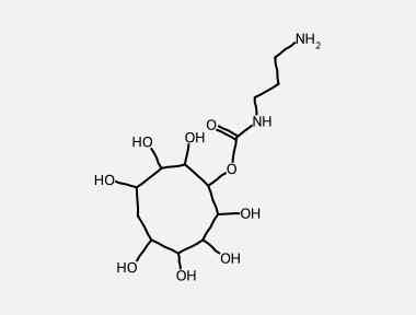 NCCCNC(=O)OC1C(O)C(O)C(O)CC(O)C(O)C(O)C1O